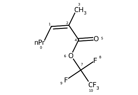 CCCC=C(C)C(=O)OC(F)(F)C(F)(F)F